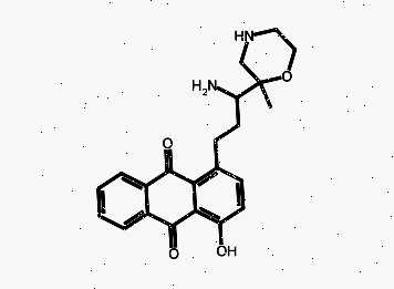 CC1(C(N)CCc2ccc(O)c3c2C(=O)c2ccccc2C3=O)CNCCO1